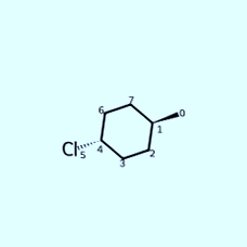 C[C@H]1CC[C@H](Cl)CC1